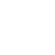 CCCCCC12CCCC=C1C(=O)NC(=O)C2